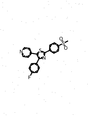 CS(=O)(=O)c1ccc(-c2nc(-c3ccc(F)cc3)c(-c3ccncc3)s2)cc1